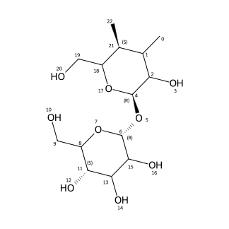 CC1C(O)[C@@H](O[C@H]2OC(CO)[C@@H](O)C(O)C2O)OC(CO)[C@H]1C